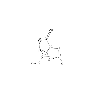 CCC1C2OC(=O)C3CC1(C)CC32